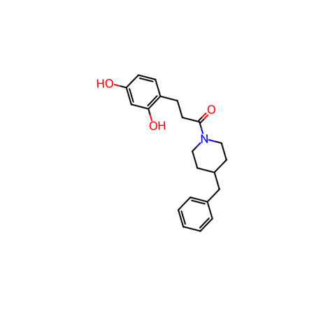 O=C(CCc1ccc(O)cc1O)N1CCC(Cc2ccccc2)CC1